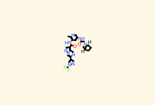 Cc1ncc(NC(=O)CN2C[C@@H]3CC[C@H]2C3)cc1NC(=O)c1cnn2cc(-c3cnn(C(F)F)c3)ncc12